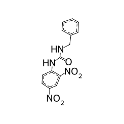 O=C(NCc1ccccc1)Nc1ccc([N+](=O)[O-])cc1[N+](=O)[O-]